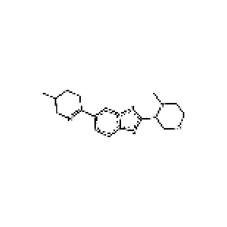 CC1CCC(c2ccc3sc(C4COCCN4C)nc3c2)=NC1